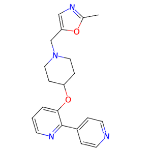 Cc1ncc(CN2CCC(Oc3cccnc3-c3ccncc3)CC2)o1